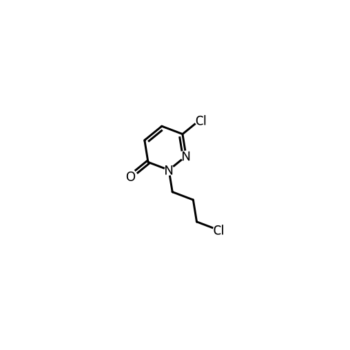 O=c1ccc(Cl)nn1CCCCl